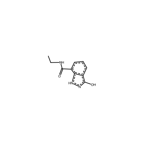 CCNC(=O)c1cccc2c(O)n[nH]c12